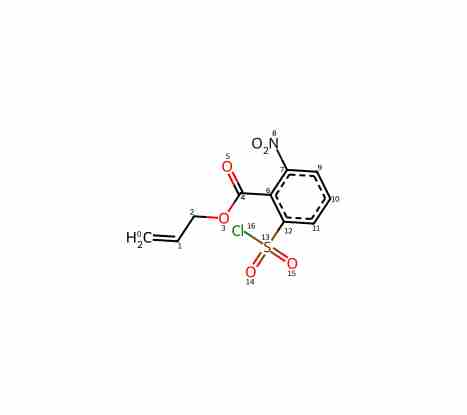 C=CCOC(=O)c1c([N+](=O)[O-])cccc1S(=O)(=O)Cl